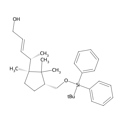 C[C@@H](/C=C/CO)[C@]1(C)CC[C@@H](CO[Si](c2ccccc2)(c2ccccc2)C(C)(C)C)C1(C)C